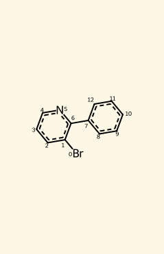 Brc1cccnc1-c1ccccc1